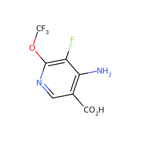 Nc1c(C(=O)O)cnc(OC(F)(F)F)c1F